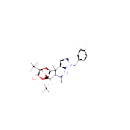 CC1=Nc2c(ccn2Cc2ccc(F)c(F)c2)C(C)(c2ccc3c(c2)C(C)(C)CO3)C1[C@H](OC(C)(C)C)C(=O)O